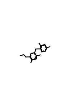 CCCc1cc(Cc2ccc(C)cc2C)c(C)cc1C